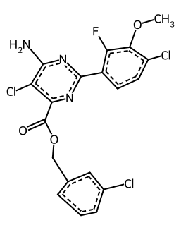 COc1c(Cl)ccc(-c2nc(N)c(Cl)c(C(=O)OCc3cccc(Cl)c3)n2)c1F